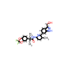 Cc1ccc(NC(=O)C(C)(C)c2ccc3c(c2)OC(F)(F)O3)nc1-c1ccc2c(CO)n[nH]c2c1